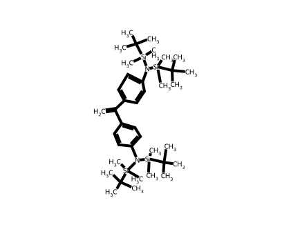 C=C(c1ccc(N([Si](C)(C)C(C)(C)C)[Si](C)(C)C(C)(C)C)cc1)c1ccc(N([Si](C)(C)C(C)(C)C)[Si](C)(C)C(C)(C)C)cc1